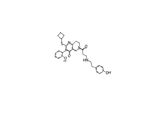 O=C(CCNCCc1ccc(O)cc1)N1CCc2nc(SC3CCC3)n(-c3ccccc3O)c(=O)c2C1